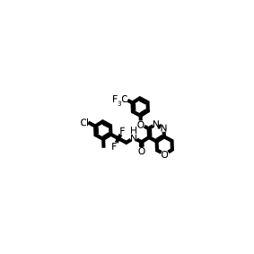 Cc1cc(Cl)ccc1C(F)(F)CNC(=O)c1c(Oc2cccc(C(F)(F)F)c2)nnc2c1COCC2